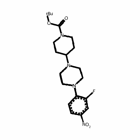 CC(C)(C)OC(=O)N1CCC(N2CCN(c3ccc([N+](=O)[O-])cc3F)CC2)CC1